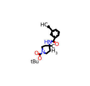 C#Cc1cccc(C(=O)NC2(C)CCN(C(=O)OC(C)(C)C)CC2)c1